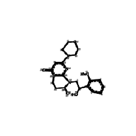 COc1ccccc1C(O)CN1c2nc(N3CCOCC3)cc(=O)n2CCC1C(F)(F)F